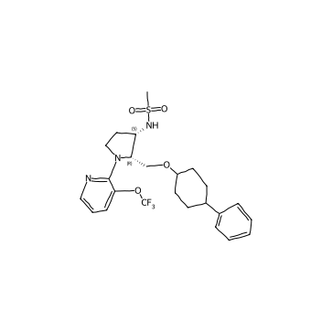 CS(=O)(=O)N[C@H]1CCN(c2ncccc2OC(F)(F)F)[C@H]1COC1CCC(c2ccccc2)CC1